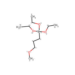 [CH2]OCCC[Si](OCC)(OCC)OCC